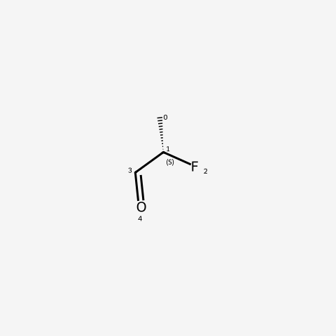 C[C@H](F)C=O